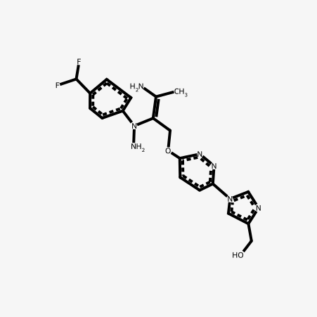 C/C(N)=C(\COc1ccc(-n2cnc(CO)c2)nn1)N(N)c1ccc(C(F)F)cc1